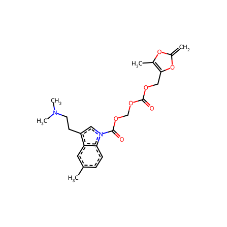 C=C1OC(C)=C(COC(=O)OCOC(=O)n2cc(CCN(C)C)c3cc(C)ccc32)O1